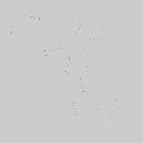 CS(=N)(=O)c1cccc(-c2nc3c4ccccc4nc(N[C@@H]4CCCCNC4)n3n2)c1